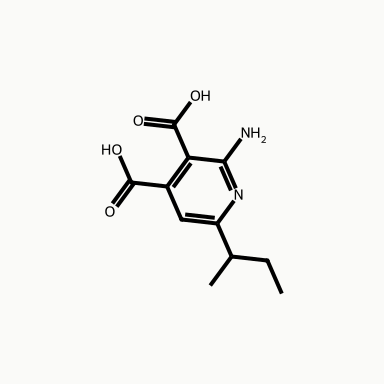 CCC(C)c1cc(C(=O)O)c(C(=O)O)c(N)n1